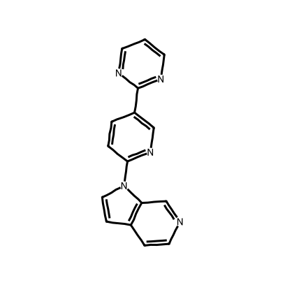 c1cnc(-c2ccc(-n3ccc4ccncc43)nc2)nc1